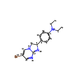 CCN(CC)c1ccc(C2CN3C=C(Br)C=NC3=N2)cc1